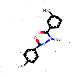 CCCCN(NC(=O)c1ccc(CCC)cc1)C(=O)c1cccc(C)c1